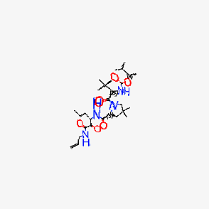 C=CCNC(=O)C(=O)C(CCC)NC(=O)[C@@H]1CC(C)(C)CN1C(=O)[C@@H](NC(=O)O[C@H](C)C(C)C)C(C)(C)C